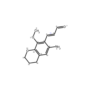 COc1c(/C=C/C=O)c(N)cc2c1OCCC2